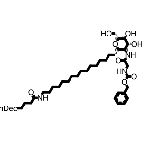 CCCCCCCCCCCCCC(=O)NCCCCCCCCCCCCCCCC[C@@H]1O[C@H](CO)[C@@H](O)[C@H](O)[C@H]1NC(=O)CNC(=O)OCc1ccccc1